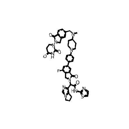 CN(Cc1ccc2c(c1)CN(N1CCC(=O)NC1=O)C2=O)C1CCN(c2ccc(-c3cc(F)c4c(c3)C(=O)N(C(C(=O)Nc3nccs3)c3ncn5c3CCC5)C4)cc2)CC1